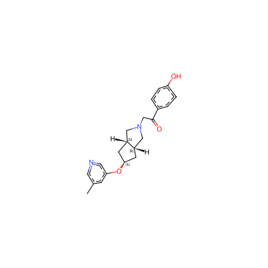 Cc1cncc(O[C@H]2C[C@@H]3CN(CC(=O)c4ccc(O)cc4)C[C@@H]3C2)c1